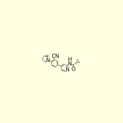 C[C@H]1CCCN1c1ccc(-c2ccnc(NC(=O)C3CC3)c2)cc1C#N